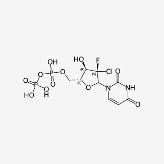 O=c1ccn(C2O[C@H](COP(=O)(O)OP(=O)(O)O)[C@@H](O)[C@]2(F)Cl)c(=O)[nH]1